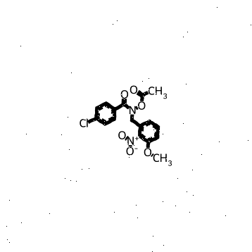 COc1cccc(CN(OC(C)=O)C(=O)c2ccc(Cl)cc2)c1[N+](=O)[O-]